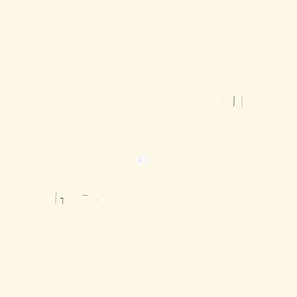 [CH]=C/C=C/CC=[CH]